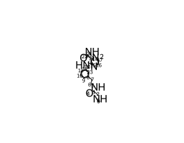 CNCC(=O)NCCc1cccc(Nc2nccnc2C(N)=O)c1